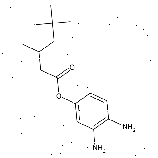 CC(CC(=O)Oc1ccc(N)c(N)c1)CC(C)(C)C